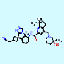 Cn1cnnc1C1(c2cccc(NC(=O)c3cc(CN4CCCC(C)(O)C4)c4c(n3)C(C)(C)CC4)c2)CC(CC#N)C1